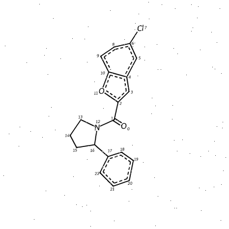 O=C(c1cc2cc(Cl)ccc2o1)N1CCCC1c1ccccc1